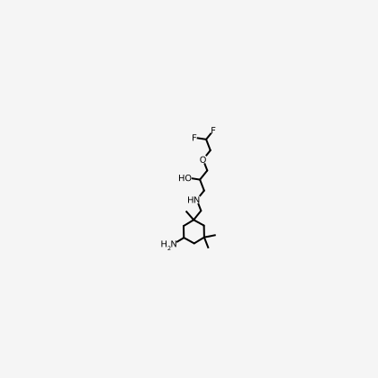 CC1(C)CC(N)CC(C)(CNCC(O)COCC(F)F)C1